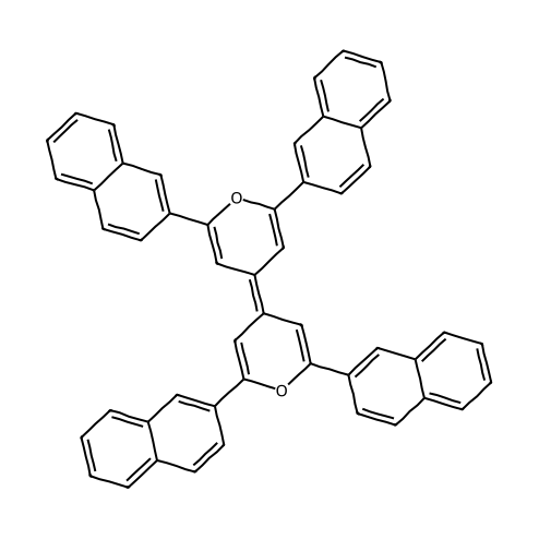 C1=C(c2ccc3ccccc3c2)OC(c2ccc3ccccc3c2)=CC1=C1C=C(c2ccc3ccccc3c2)OC(c2ccc3ccccc3c2)=C1